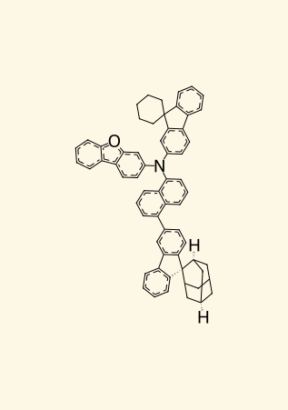 c1ccc2c(c1)-c1ccc(N(c3ccc4c(c3)oc3ccccc34)c3cccc4c(-c5ccc6c(c5)-c5ccccc5[C@]65C6CC7C[C@@H](C6)C[C@@H]5C7)cccc34)cc1C21CCCCC1